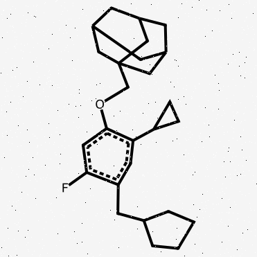 Fc1cc(OCC23CC4CC(CC(C4)C2)C3)c(C2CC2)cc1CC1CCCC1